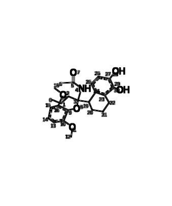 CCCC(NC(C)=O)(Oc1c(OC)cccc1OC)C1CCCc2c1ccc(O)c2O